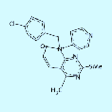 CSc1nc(C)c2c(n1)[N+](Cc1ccc(Cl)cc1)(c1ccncc1)C(=O)C=C2